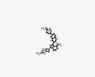 C=C/C=C\C(=N/C)c1ccc2ccc(-c3nc([C@H]4C[C@@H](CN(C)C)C4)n4ccnc(N)c34)cc2n1